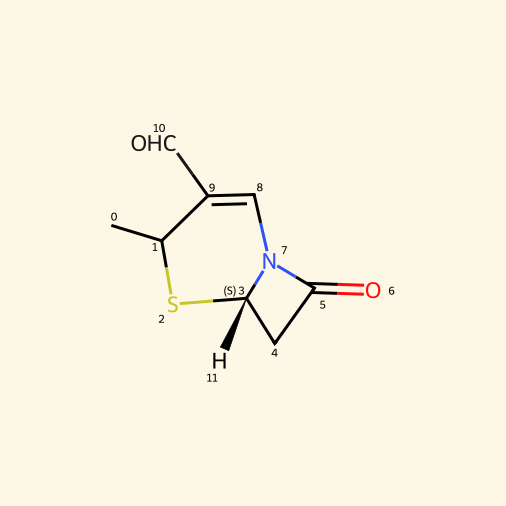 CC1S[C@H]2CC(=O)N2C=C1C=O